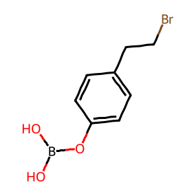 OB(O)Oc1ccc(CCBr)cc1